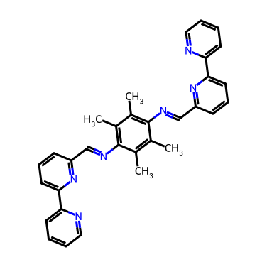 Cc1c(C)c(N=Cc2cccc(-c3ccccn3)n2)c(C)c(C)c1N=Cc1cccc(-c2ccccn2)n1